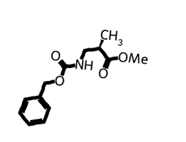 COC(=O)[C@H](C)CNC(=O)OCc1ccccc1